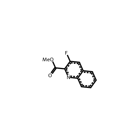 COC(=O)c1nc2ccccc2cc1F